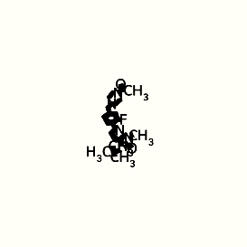 CC(=O)N1CCN(Cc2ccc(-c3ccc4c(n3)n(C)c(=O)n4CC(C)(C)C)c(F)c2)CC1